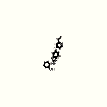 O[C@@H]1CCCC[C@H]1Nc1nc2ccc(Oc3ccnc(CI)c3)cc2s1